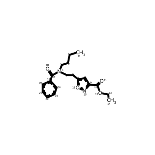 CCCCN(CCc1cc(C(=O)OCC)no1)C(=O)c1ccccc1